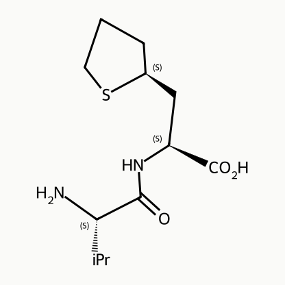 CC(C)[C@H](N)C(=O)N[C@@H](C[C@@H]1CCCS1)C(=O)O